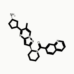 Cc1cn2nc([C@@H]3CCCCN3C(=O)c3ccc4cccnc4c3)cc2nc1C1CC[C@H](N)C1